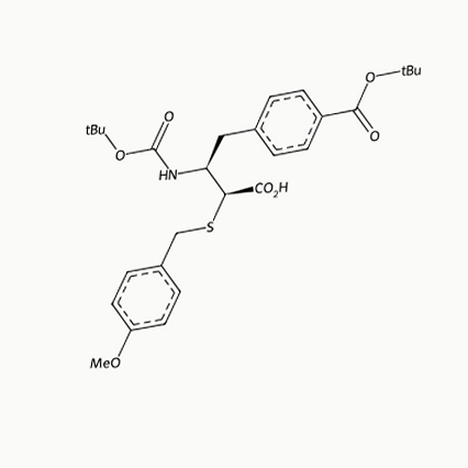 COc1ccc(CS[C@H](C(=O)O)[C@H](Cc2ccc(C(=O)OC(C)(C)C)cc2)NC(=O)OC(C)(C)C)cc1